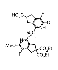 CCOC(=O)C1(C(=O)OCC)Cc2c(C)nc(OC)c(F)c2C1.Cc1[nH]c(=O)c(F)c2c1CC(C(=O)O)C2